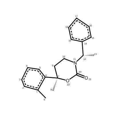 Cc1ccccc1[C@@]1(C)CCN([C@@H](C)c2ccccc2)C(=O)O1